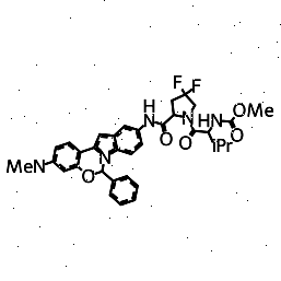 CNc1ccc2c(c1)OC(c1ccccc1)n1c-2cc2cc(NC(=O)C3CC(F)(F)CN3C(=O)C(NC(=O)OC)C(C)C)ccc21